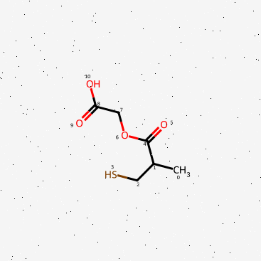 CC(CS)C(=O)OCC(=O)O